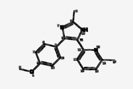 COc1ccc(-c2nc(C)[nH]c2-c2cccc(C)n2)cc1